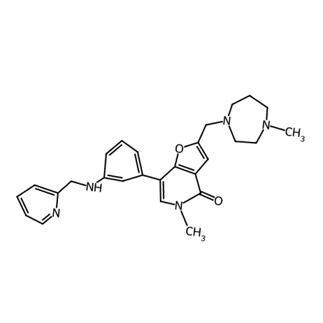 CN1CCCN(Cc2cc3c(=O)n(C)cc(-c4cccc(NCc5ccccn5)c4)c3o2)CC1